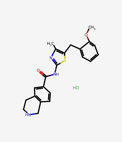 COc1ccccc1Cc1sc(NC(=O)c2ccc3c(c2)CCNC3)nc1C.Cl